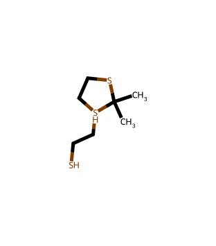 CC1(C)SCC[SH]1CCS